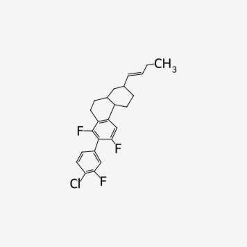 CCC=CC1CCC2c3cc(F)c(-c4ccc(Cl)c(F)c4)c(F)c3CCC2C1